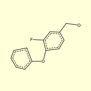 [O]Cc1ccc(Oc2ccccc2)c(F)c1